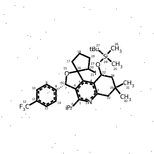 CC(C)c1nc2c(c3c1[C@H](c1ccc(C(F)(F)F)cc1)OC31CCCC1I)C(O[Si](C)(C)C(C)(C)C)CC(C)(C)C2